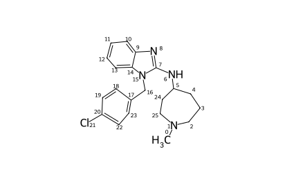 CN1CCCC(Nc2nc3ccccc3n2Cc2ccc(Cl)cc2)CC1